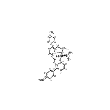 CC[SiH](CC)[SiH](C1C(C)=Cc2c(-c3ccc(C(C)(C)C)cc3)cccc21)C1C(C)=Cc2c(-c3ccc(C(C)(C)C)cc3)cccc21